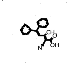 CC(C=C(c1ccccc1)c1ccccc1)=C(C#N)C(=O)O